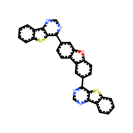 c1ccc2c(c1)sc1c(-c3ccc4c(c3)oc3ccc(-c5ncnc6c5sc5ccccc56)cc34)ncnc12